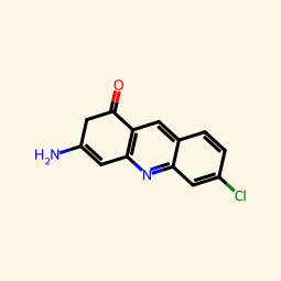 NC1=Cc2nc3cc(Cl)ccc3cc2C(=O)C1